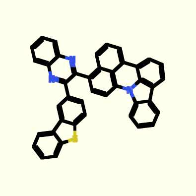 c1ccc2nc(-c3ccc4c5c3cccc5c3cccc5c6ccccc6n4c35)c(-c3ccc4sc5ccccc5c4c3)nc2c1